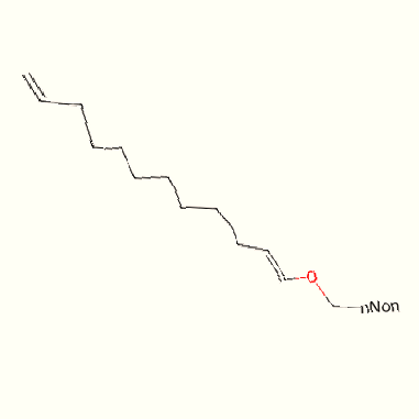 C=CCCCCCCCCC=COCCCCCCCCCC